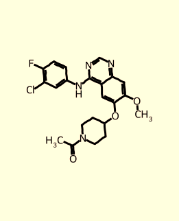 COc1cc2ncnc(Nc3ccc(F)c(Cl)c3)c2cc1OC1CCN(C(C)=O)CC1